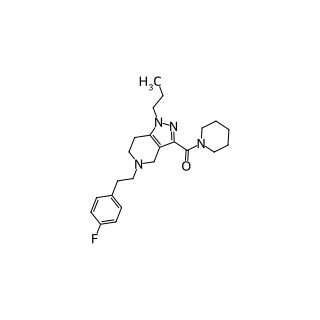 CCCn1nc(C(=O)N2CCCCC2)c2c1CCN(CCc1ccc(F)cc1)C2